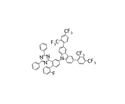 Fc1ccccc1-c1ccc(-n2c3ccc(-c4ccc(C(F)(F)F)cc4C(F)(F)F)cc3c3cc(-c4ccc(C(F)(F)F)cc4C(F)(F)F)ccc32)cc1-c1nc(-c2ccccc2)nc(-c2ccccc2)n1